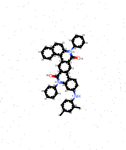 Cc1ccc(Nc2ccc3c4cc5c(=O)n(-c6ccccc6)c6ccc7ccccc7c6c5cc4c(=O)n(-c4ccccc4)c3c2)c(C)c1